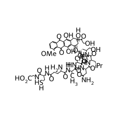 CCO[C@@H](CC(CO)NC(=O)C(CC(C)C)NC(=O)C(CC(N)=O)NC(=O)C(C)NC(=O)C(C)NC(=O)C(N)CCC(=O)NC(CS)C(=O)NCC(=O)O)O[C@H]1C[C@](O)(C(=O)CO)Cc2c(O)c3c(c(O)c21)C(=O)c1c(OC)cccc1C3=O